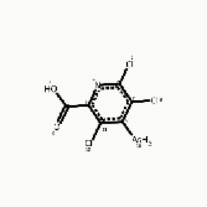 O=C(O)c1nc(Cl)c(Cl)c([AsH2])c1Cl